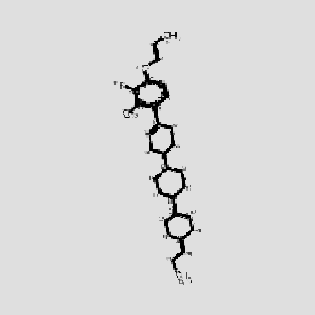 CCCOc1ccc(C2=CCC(C3CCC(C4CCC(CCC)CC4)CC3)CC2)c(Cl)c1F